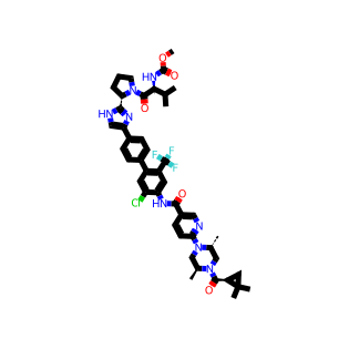 COC(=O)N[C@H](C(=O)N1CCC[C@H]1c1nc(-c2ccc(-c3cc(Cl)c(NC(=O)c4ccc(N5C[C@H](C)N(C(=O)[C@H]6CC6(C)C)C[C@H]5C)nc4)cc3C(F)(F)F)cc2)c[nH]1)C(C)C